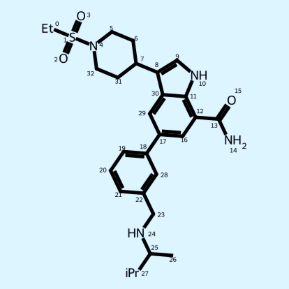 CCS(=O)(=O)N1CCC(c2c[nH]c3c(C(N)=O)cc(-c4cccc(CNC(C)C(C)C)c4)cc23)CC1